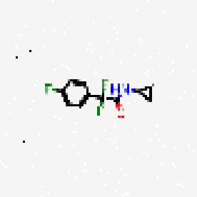 O=C(NC1CC1)C(F)(F)c1ccc(F)cc1